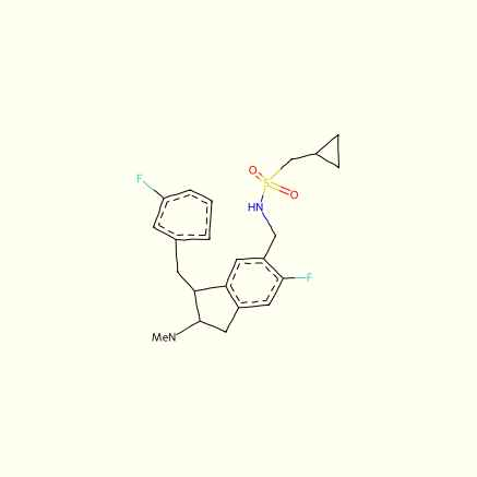 CNC1Cc2cc(F)c(CNS(=O)(=O)CC3CC3)cc2C1Cc1cccc(F)c1